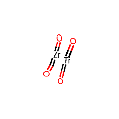 [O]=[Ti]=[O].[O]=[Zr]=[O]